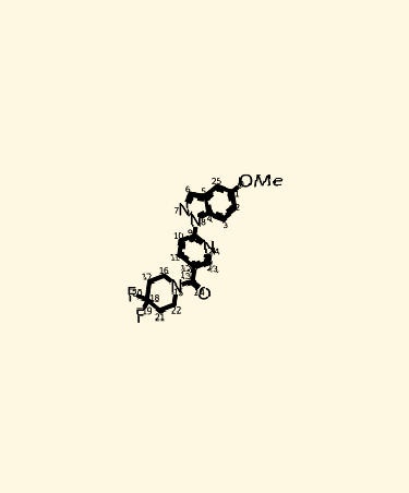 COc1ccc2c(cnn2-c2ccc(C(=O)N3CCC(F)(F)CC3)cn2)c1